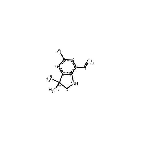 C=Cc1cc(Cl)nc2c1NCC2(C)C